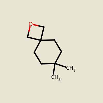 CC1(C)CCC2(CC1)COC2